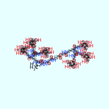 CC(C)CC(NC(=O)CNC(=O)CNC(=O)CCCCC(=O)OCCC(=O)NCCCC[C@@H](C(=O)NCCO[C@H]1O[C@H](CO)[C@@H](O)[C@H](O)[C@H]1O)N(CC(=O)NCCO[C@H]1O[C@H](CO)[C@@H](O)[C@H](O)[C@H]1O)CC(=O)NCCO[C@H]1O[C@H](CO)[C@@H](O)[C@H](O)[C@H]1O)C(=O)NCCCCC(C(=O)NCCO[C@H]1O[C@H](CO)[C@@H](O)[C@H](O)[C@H]1O)N(CC(=O)NCCO[C@H]1O[C@H](CO)[C@@H](O)[C@H](O)[C@H]1O)CC(=O)NCCO[C@H]1O[C@H](CO)[C@@H](O)[C@H](O)[C@H]1O